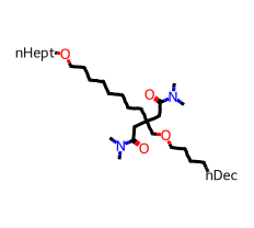 CCCCCCCCCCCCCCOCC(CCCCCCCCOCCCCCCC)(CC(=O)N(C)C)CC(=O)N(C)C